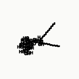 CCCCCCCCCCCCC/C=C/[C@@H](O)[C@H](CO[C@@H]1OC(CO)[C@@H](O[C@@H]2OC(CO)[C@H](O)[C@H](O[C@@H]3OC(CO)[C@@H](O[C@@H]4OC(CO)[C@H](O)[C@H](O)C4O)[C@H](O)C3NC(C)=O)C2O)[C@H](O)C1O)NC(=O)CCCCCCCCCCCCCCCCC